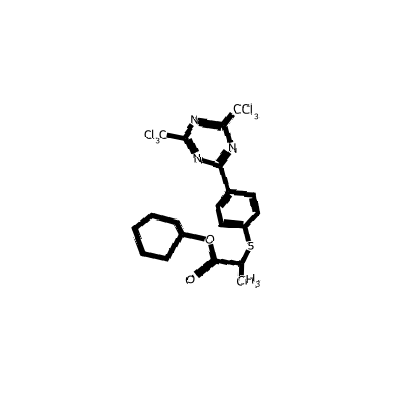 CC(Sc1ccc(-c2nc(C(Cl)(Cl)Cl)nc(C(Cl)(Cl)Cl)n2)cc1)C(=O)OC1CCCCC1